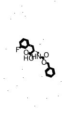 O=C(NC[C@@H](Cc1cccc(F)c1)C(=O)O)OCc1ccccc1